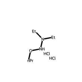 CCCONN(CC)CC.Cl.Cl